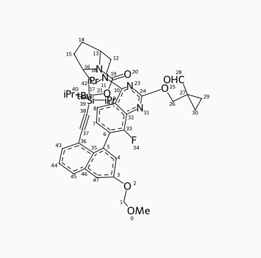 COCOc1cc(-c2ccc3c(N4CC5CCC(C4)N5C(=O)OC(C)(C)C)nc(OCC4(C=O)CC4)nc3c2F)c2c(C#C[Si](C(C)C)(C(C)C)C(C)C)cccc2c1